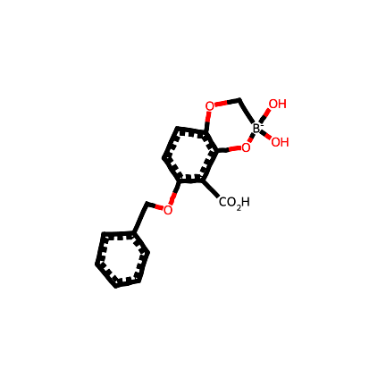 O=C(O)c1c(OCc2ccccc2)ccc2c1O[B-](O)(O)CO2